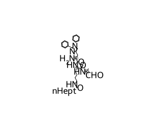 CCCCCCCC(=O)NCCCC[C@H](NC(=O)[C@@H](N)Cc1cn(-c2ccccc2)c(-c2ccccc2)n1)C(=O)N[C@H](C)C=O